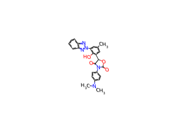 Cc1cc(C2OC(=O)N(c3ccc(N(C)C)cc3)C2=O)c(O)c(-n2nc3ccccc3n2)c1